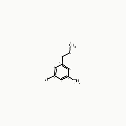 [CH2]c1cc(I)cc(CCC)c1